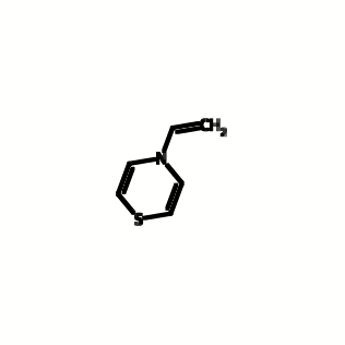 C=CN1C=CSC=C1